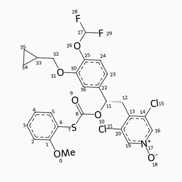 COc1ccccc1SC(=O)O[C@@H](Cc1c(Cl)c[n+]([O-])cc1Cl)c1ccc(OC(F)F)c(OCC2CC2)c1